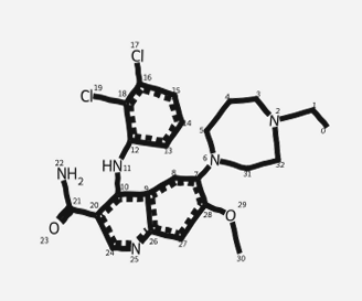 CCN1CCCN(c2cc3c(Nc4cccc(Cl)c4Cl)c(C(N)=O)cnc3cc2OC)CC1